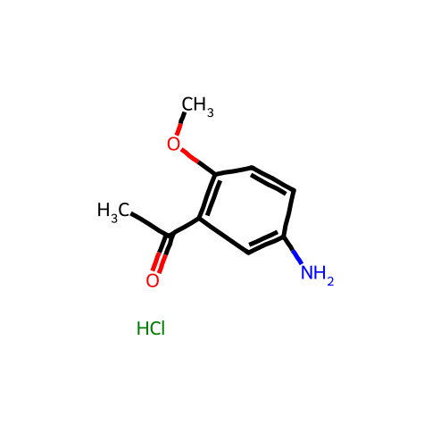 COc1ccc(N)cc1C(C)=O.Cl